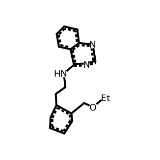 CCOCc1ccccc1CCNc1ncnc2ccccc12